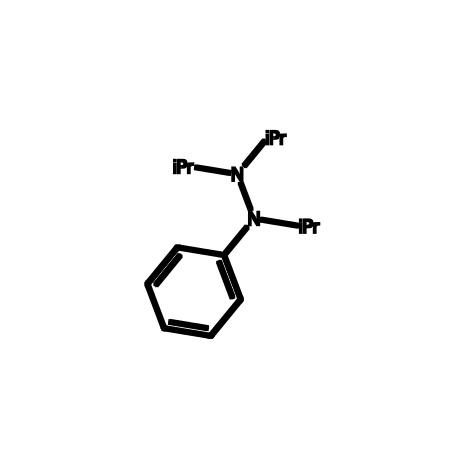 CC(C)N(c1ccccc1)N(C(C)C)C(C)C